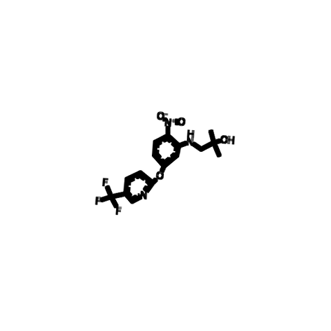 CC(C)(O)CNc1cc(Oc2ccc(C(F)(F)F)cn2)ccc1[N+](=O)[O-]